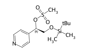 CC(C)(C)[Si](C)(C)OC[C@H](OS(C)(=O)=O)c1ccncc1